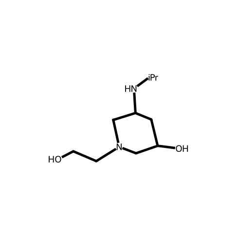 CC(C)NC1CC(O)CN(CCO)C1